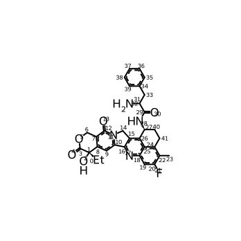 CC[C@@]1(O)C(=O)OCc2c1cc1n(c2=O)Cc2c-1nc1cc(F)c(C)c3c1c2[C@@H](NC(=O)C(N)Cc1ccccc1)CC3